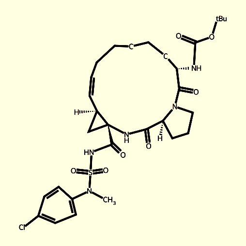 CN(c1ccc(Cl)cc1)S(=O)(=O)NC(=O)[C@@]12C[C@H]1/C=C\CCCCC[C@H](NC(=O)OC(C)(C)C)C(=O)N1CCC[C@H]1C(=O)N2